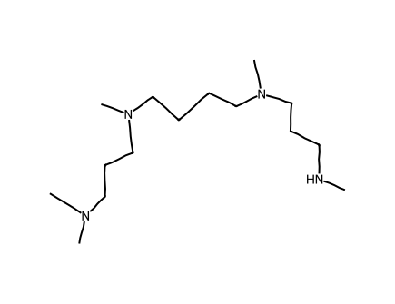 CNCCCN(C)CCCCN(C)CCCN(C)C